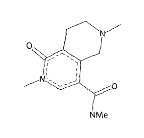 CNC(=O)c1cn(C)c(=O)c2c1CN(C)CC2